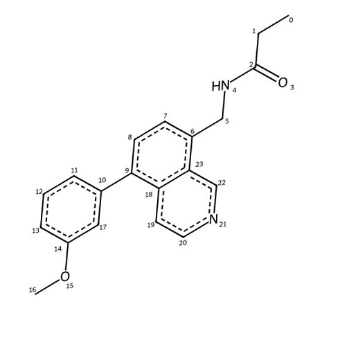 CCC(=O)NCc1ccc(-c2cccc(OC)c2)c2ccncc12